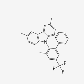 Cc1ccc2c(c1)c1cc(C)ccc1n2-c1c(C)cc(C(F)(F)F)cc1-c1ccccc1